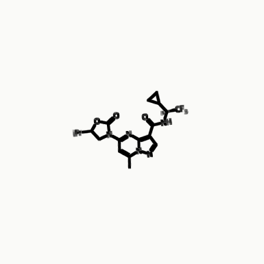 Cc1cc(N2CC(C(C)C)OC2=O)nc2c(C(=O)N[C@@H](C3CC3)C(F)(F)F)cnn12